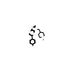 CN1CCC(Cn2c(=O)[nH]c3ncc(-c4ccc(O)cc4)nc32)CC1